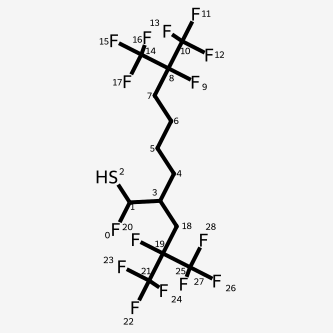 FC(S)C(CCCCC(F)(C(F)(F)F)C(F)(F)F)CC(F)(C(F)(F)F)C(F)(F)F